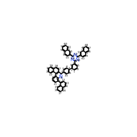 c1cc(-c2ccc(-c3nc4c(-c5cccc6ccccc56)cccc4c4c3ccc3ccccc34)cc2)cc(-c2nc(-c3ccc4ccccc4c3)nc(-c3ccc4ccccc4c3)n2)c1